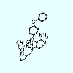 C=CON1CCCC1CN(N=O)c1ccnc(N)c1Nc1ccc(Oc2ccccc2)cc1